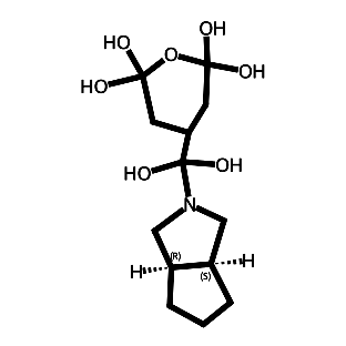 OC1(O)CC(C(O)(O)N2C[C@H]3CCC[C@H]3C2)CC(O)(O)O1